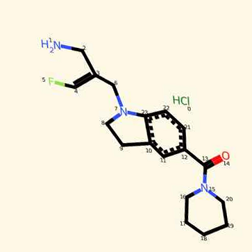 Cl.NCC(=CF)CN1CCc2cc(C(=O)N3CCCCC3)ccc21